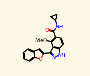 COc1c(C(=O)NC2CC2)ccc2[nH]nc(-c3cc4ccccc4o3)c12